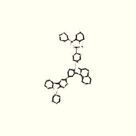 c1ccc(-c2nc(-c3ccc(-n4c5ccc(-c6ccc7c(c6)c6ccccc6n7-c6ccccc6)cc5c5c6ccccc6ccc54)cc3)nc3ccccc23)cc1